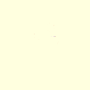 C=Cc1sc2cccc(-c3ccccc3)c2[n+]1CCCCCCC.[I-]